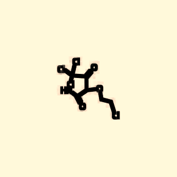 [NH]C(=O)C(OCCCl)C(=O)C(Cl)(Cl)Cl